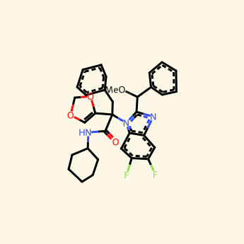 COC(c1ccccc1)c1nc2cc(F)c(F)cc2n1C(Cc1ccccc1)(C(=O)NC1CCCCC1)C1=COCO1